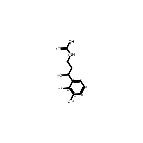 O=C(O)NCCC(O)c1cccc(Cl)c1F